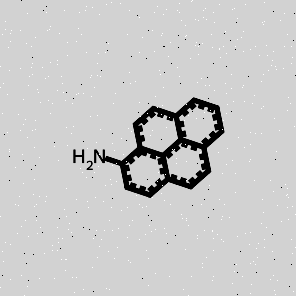 Nc1ccc2ccc3cccc4ccc1c2c34